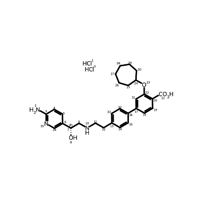 Cl.Cl.Nc1ccc([C@@H](O)CNCCc2ccc(-c3ccc(C(=O)O)c(OC4CCCCCC4)c3)cc2)cn1